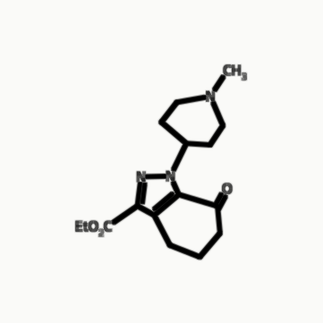 CCOC(=O)c1nn(C2CCN(C)CC2)c2c1CCCC2=O